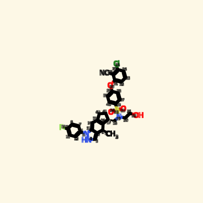 C[C@H]1C2=CNN(c3ccc(F)cc3)C2=CC2=C1[C@@H](CN(CCO)S(=O)(=O)c1ccc(Oc3cccc(Cl)c3C#N)cc1)CC2